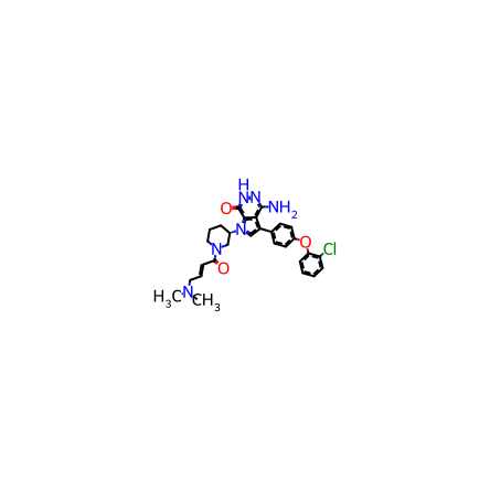 CN(C)CC=CC(=O)N1CCC[C@@H](n2cc(-c3ccc(Oc4ccccc4Cl)cc3)c3c(N)n[nH]c(=O)c32)C1